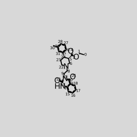 CCOC(=O)[C@H]1CN(CCn2c(=O)[nH]c3ccccc3c2=O)CC[C@H]1c1cccc(C)c1